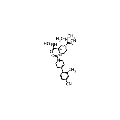 Cc1cc(C#N)ccc1C1=CCN(C(=O)[C@H]2CCN(C(=NC#N)N(C)C)C[C@@H]2C(=O)NO)CC1